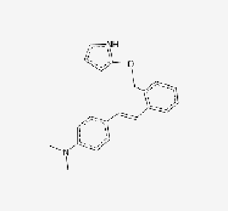 CN(C)c1ccc(C=Cc2ccccc2COc2ccc[nH]2)cc1